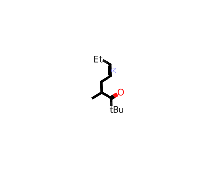 CC/C=C\CC(C)C(=O)C(C)(C)C